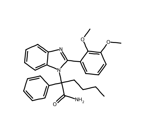 CCCCC(C(N)=O)(c1ccccc1)n1c(-c2cccc(OC)c2OC)nc2ccccc21